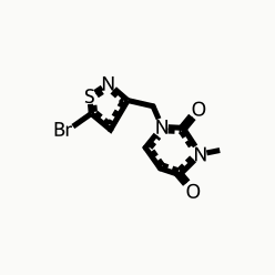 Cn1c(=O)ccn(Cc2cc(Br)sn2)c1=O